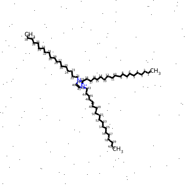 CCCCCCCCCCCCCCCCCCCc1n(CCCCCCCCCCCCCCCCCCC)cc[n+]1CCCCCCCCCCCCCCCCCCC